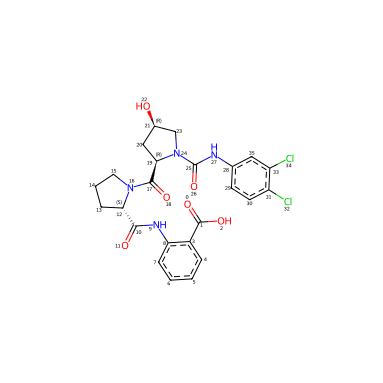 O=C(O)c1ccccc1NC(=O)[C@@H]1CCCN1C(=O)[C@H]1C[C@@H](O)CN1C(=O)Nc1ccc(Cl)c(Cl)c1